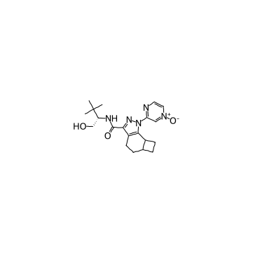 CC(C)(C)[C@@H](CO)NC(=O)c1nn(-c2c[n+]([O-])ccn2)c2c1CCC1CCC21